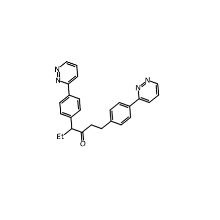 [CH2]CC(C(=O)CCc1ccc(-c2cccnn2)cc1)c1ccc(-c2cccnn2)cc1